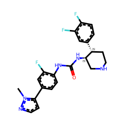 Cn1nccc1-c1ccc(NC(=O)N[C@@H]2CNCC[C@H]2c2ccc(F)c(F)c2)c(F)c1